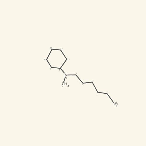 CC(C)CCCCCN(C)C1CCCCC1